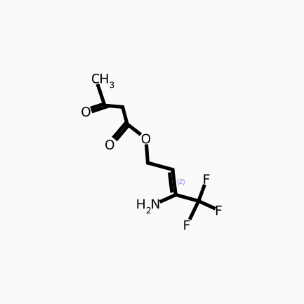 CC(=O)CC(=O)OC/C=C(\N)C(F)(F)F